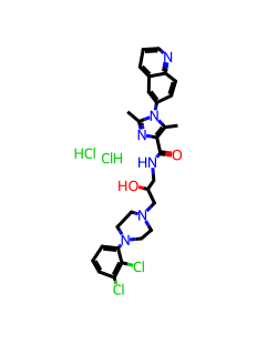 Cc1nc(C(=O)NCC(O)CN2CCN(c3cccc(Cl)c3Cl)CC2)c(C)n1-c1ccc2ncccc2c1.Cl.Cl